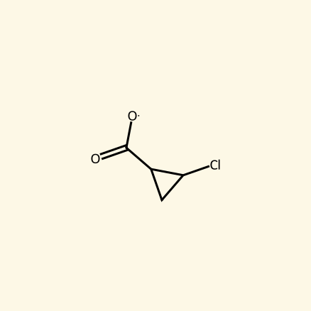 [O]C(=O)C1CC1Cl